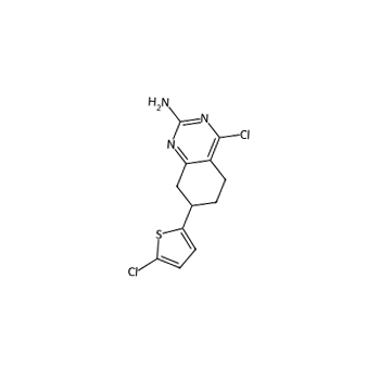 Nc1nc(Cl)c2c(n1)CC(c1ccc(Cl)s1)CC2